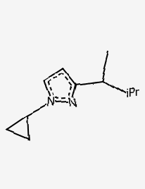 CC(C)C(C)c1ccn(C2CC2)n1